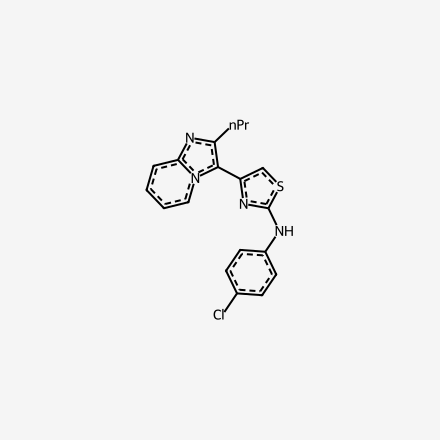 CCCc1nc2ccccn2c1-c1csc(Nc2ccc(Cl)cc2)n1